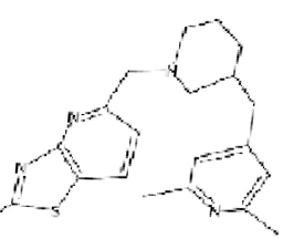 Cc1cc(CC2CCCN(Cc3ccc4sc(C)nc4n3)C2)cc(C)n1